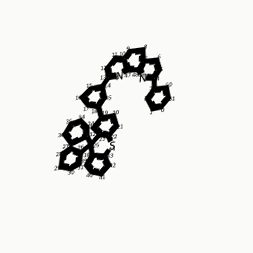 c1ccc(-c2ccc3ccc4ccc(-c5cccc(-c6ccc7c(c6)C(c6ccccc6)(c6ccccc6)c6ccccc6S7)c5)nc4c3n2)cc1